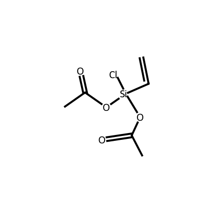 C=C[Si](Cl)(OC(C)=O)OC(C)=O